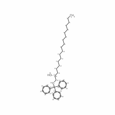 CCCCCCCCCCCCCCCCC[C@@H](O)COC(c1ccccc1)(c1ccccc1)c1ccccc1